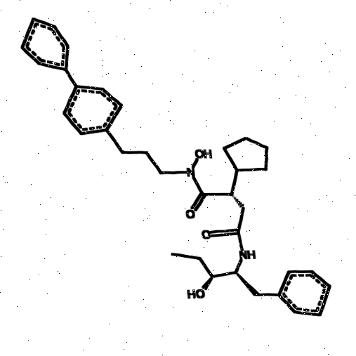 CC[C@H](O)[C@H](Cc1ccccc1)NC(=O)C[C@H](C(=O)N(O)CCCc1ccc(-c2ccccc2)cc1)C1CCCC1